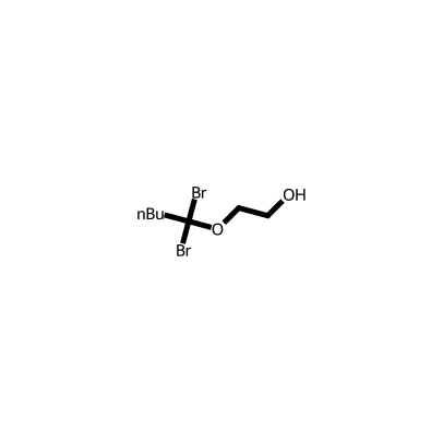 CCCCC(Br)(Br)OCCO